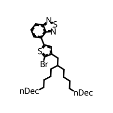 CCCCCCCCCCCCCCC(CCCCCCCCCCCCCC)Cc1cc(-c2cccc3nsnc23)sc1Br